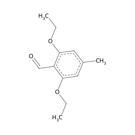 CCOc1cc(C)cc(OCC)c1C=O